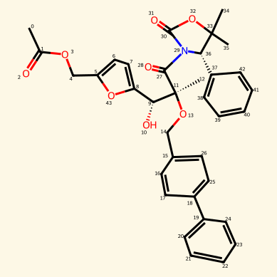 CC(=O)OCc1ccc([C@@H](O)[C@](C)(OCc2ccc(-c3ccccc3)cc2)C(=O)N2C(=O)OC(C)(C)[C@@H]2c2ccccc2)o1